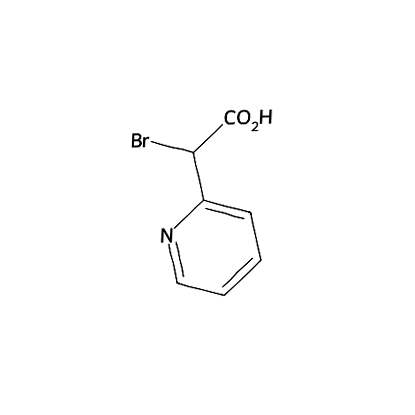 O=C(O)C(Br)c1ccccn1